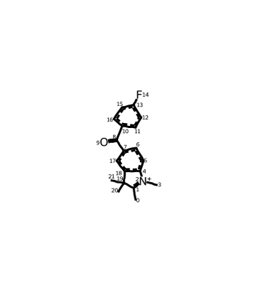 CC1=[N+](C)c2ccc(C(=O)c3ccc(F)cc3)cc2C1(C)C